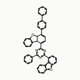 C1=C(c2ccc(-c3ccccc3)cc2)C2Oc3ccccc3C2C(c2nc(-c3ccccc3)nc(-c3cccc4oc5ccccc5c34)n2)=C1